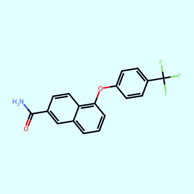 NC(=O)c1ccc2c(Oc3ccc(C(F)(F)F)cc3)cccc2c1